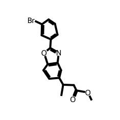 COC(=O)CC(C)c1ccc2oc(-c3cccc(Br)c3)nc2c1